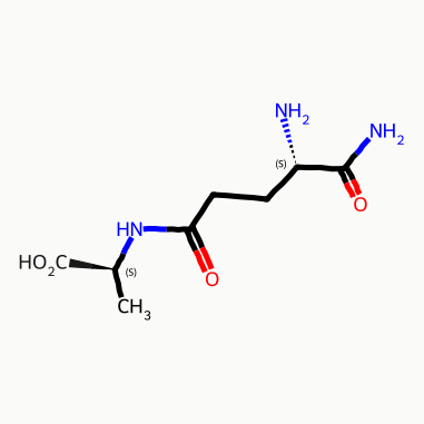 C[C@H](NC(=O)CC[C@H](N)C(N)=O)C(=O)O